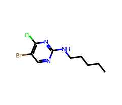 CCCCCNc1ncc(Br)c(Cl)n1